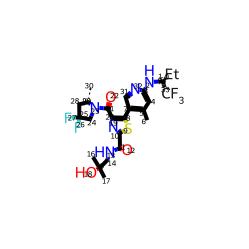 CC[C@H](Nc1cc(C)c(-c2sc(C(=O)NCC(C)(C)O)nc2C(=O)N2CC(F)(F)C[C@@H]2C)cn1)C(F)(F)F